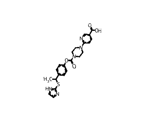 CC(Sc1ncc[nH]1)c1ccc(OC(=O)N2CCN(c3ccc(C(=O)O)cn3)CC2)cc1